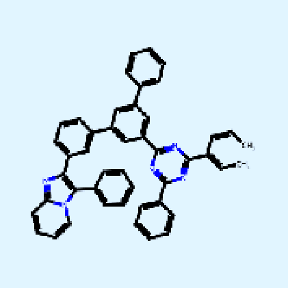 C/C=C\C(=C/C)c1nc(-c2ccccc2)nc(-c2cc(-c3ccccc3)cc(-c3cccc(-c4nc5ccccn5c4-c4ccccc4)c3)c2)n1